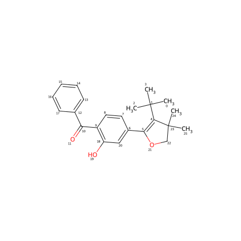 CC(C)(C)C1=C(c2ccc(C(=O)c3ccccc3)c(O)c2)OCC1(C)C